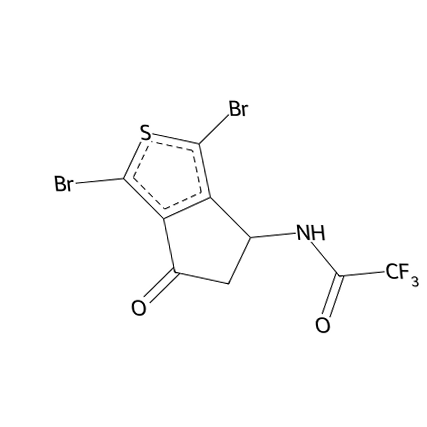 O=C1CC(NC(=O)C(F)(F)F)c2c(Br)sc(Br)c21